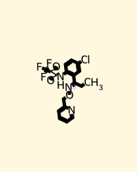 CC/C(=N\OCc1ccccn1)c1cc(Cl)ccc1NS(=O)(=O)C(F)(F)F